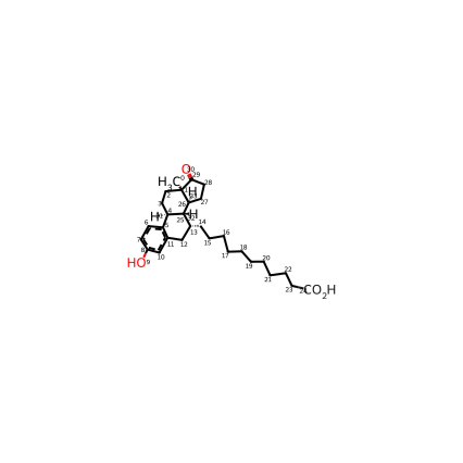 C[C@]12CC[C@@H]3c4ccc(O)cc4C[C@@H](CCCCCCCCCCC(=O)O)[C@H]3[C@@H]1CCC2=O